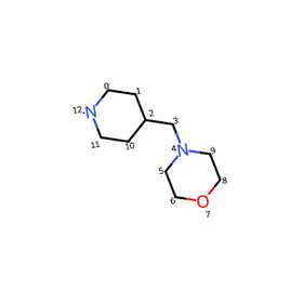 C1CC(CN2CCOCC2)CC[N]1